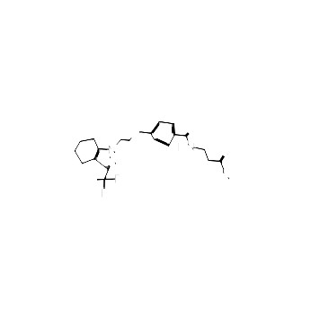 NC(=O)CCNC(=O)c1ccc(OCCn2nc(C(F)(F)F)c3c2CCCC3)cc1